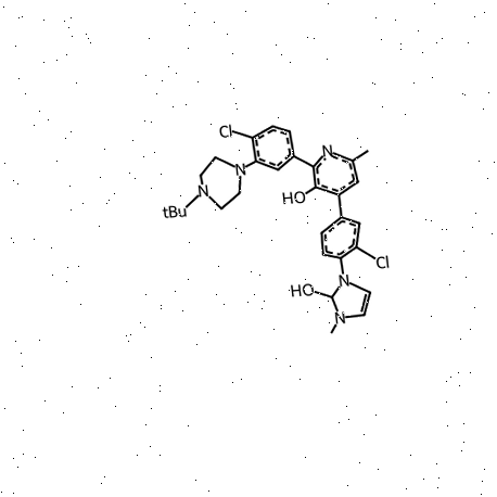 Cc1cc(-c2ccc(N3C=CN(C)C3O)c(Cl)c2)c(O)c(-c2ccc(Cl)c(N3CCN(C(C)(C)C)CC3)c2)n1